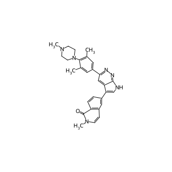 Cc1cc(-c2cc3c(-c4ccc5c(=O)n(C)ccc5c4)c[nH]c3nn2)cc(C)c1N1CCN(C)CC1